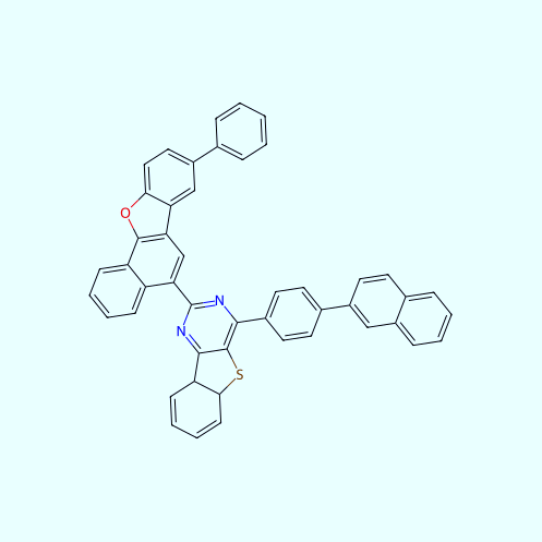 C1=CC2Sc3c(-c4ccc(-c5ccc6ccccc6c5)cc4)nc(-c4cc5c6cc(-c7ccccc7)ccc6oc5c5ccccc45)nc3C2C=C1